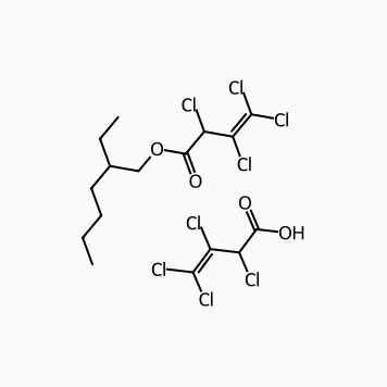 CCCCC(CC)COC(=O)C(Cl)C(Cl)=C(Cl)Cl.O=C(O)C(Cl)C(Cl)=C(Cl)Cl